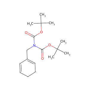 CC(C)(C)OC(=O)N(CC1=C[CH]CC=C1)C(=O)OC(C)(C)C